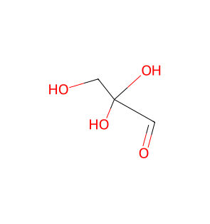 O=CC(O)(O)CO